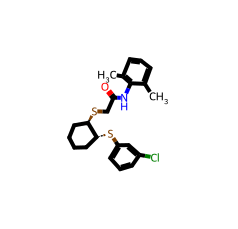 Cc1cccc(C)c1NC(=O)CS[C@@H]1CCCC[C@H]1Sc1cccc(Cl)c1